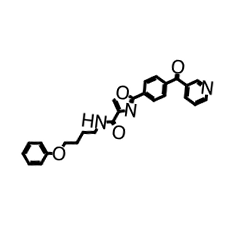 O=C(c1ccc(-c2nc(C(=O)NCCCCOc3ccccc3)co2)cc1)c1cccnc1